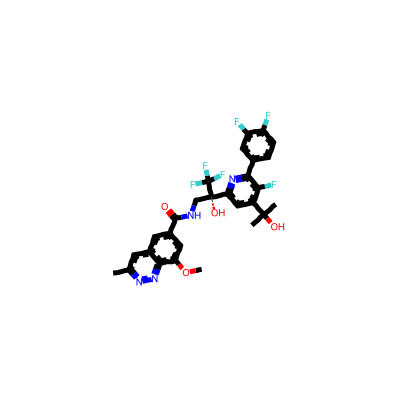 COc1cc(C(=O)NC[C@](O)(c2cc(C(C)(C)O)c(F)c(-c3ccc(F)c(F)c3)n2)C(F)(F)F)cc2cc(C)nnc12